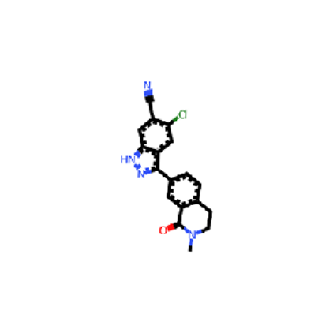 CN1CCc2ccc(-c3n[nH]c4cc(C#N)c(Cl)cc34)cc2C1=O